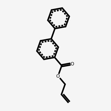 C=CCOC(=O)c1cccc(-c2ccccc2)c1